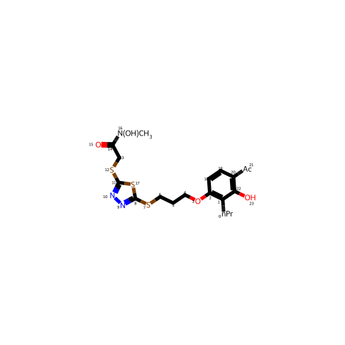 CCCc1c(OCCCSc2nnc(SCC(=O)N(C)O)s2)ccc(C(C)=O)c1O